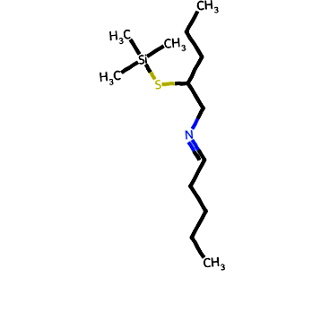 CCCCC=NCC(CCC)S[Si](C)(C)C